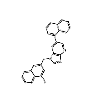 Fc1cc(Cn2cnc3ncc(-c4cccc5ccccc45)nc32)cc2cccnc12